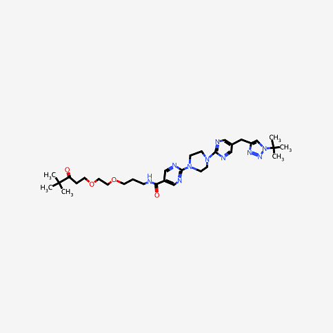 CC(C)(C)C(=O)CCOCCOCCCNC(=O)c1cnc(N2CCN(c3ncc(Cc4cn(C(C)(C)C)nn4)cn3)CC2)nc1